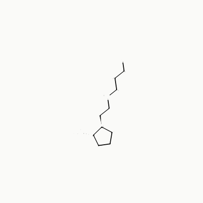 CCCCCCCC[C@H]1CCC[C@@H]1CCSCCCC=O